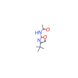 CC(=O)Nc1nc(C(C)(C)C)co1